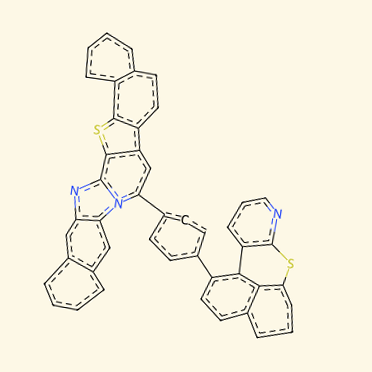 c1cnc2c(c1)-c1c(-c3ccc(-c4cc5c6ccc7ccccc7c6sc5c5nc6cc7ccccc7cc6n45)cc3)ccc3cccc(c13)S2